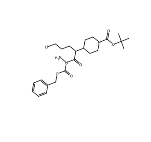 CC(C)(C)OC(=O)N1CCC(C(CCCCl)C(=O)N(N)C(=O)OCc2ccccc2)CC1